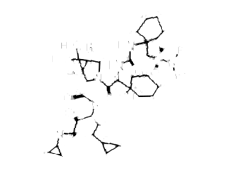 CCN(C(C)C)S(=O)(=O)CC1(NC(=O)N[C@H](C(=O)N2C[C@H]3[C@@H]([C@H]2C(=O)N[C@@H](CCC2CC2)C(=O)C(=O)NC2CC2)C3(C)C)C2(C)CCCCC2)CCCCC1